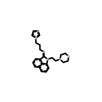 c1cc2c3c(cccc3c1)N(CCN1CCOCC1)/C2=N/CCCn1ccnc1